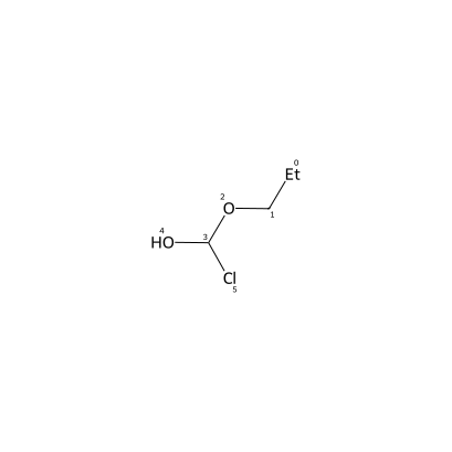 CCCOC(O)Cl